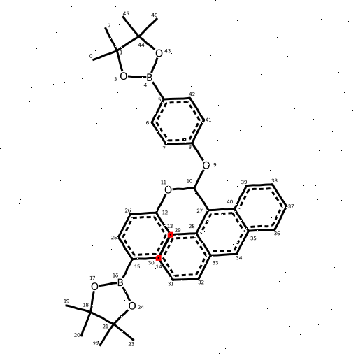 CC1(C)OB(c2ccc(OC(Oc3ccc(B4OC(C)(C)C(C)(C)O4)cc3)c3c4ccccc4cc4ccccc34)cc2)OC1(C)C